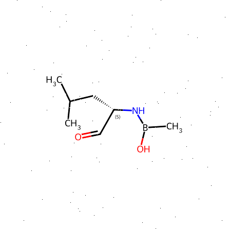 CB(O)N[C@H](C=O)CC(C)C